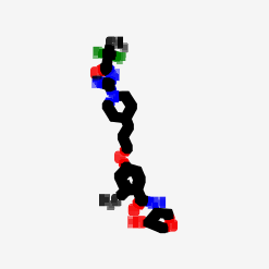 Cc1cc(OCCCC2CCN(c3noc(C(C)(F)F)n3)CC2)ccc1C(=O)N[C@@H]1COC[C@H]1O